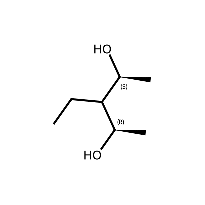 CCC([C@H](C)O)[C@@H](C)O